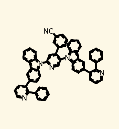 N#Cc1cccc(-c2cc(-n3c4ccccc4c4cc(-c5cccnc5-c5ccccc5)ccc43)ncc2-n2c3ccccc3c3cc(-c4cccnc4-c4ccccc4)ccc32)c1